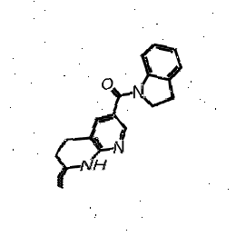 C=C1CCc2cc(C(=O)N3CCc4ccccc43)cnc2N1